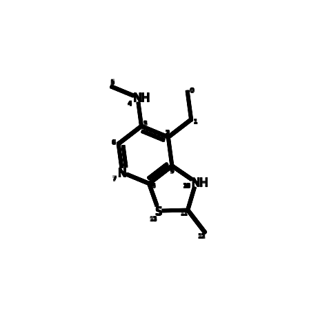 CCc1c(NC)cnc2c1NC(C)S2